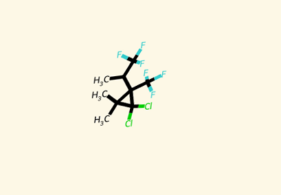 CC(C(F)(F)F)C1(C(F)(F)F)C(C)(C)C1(Cl)Cl